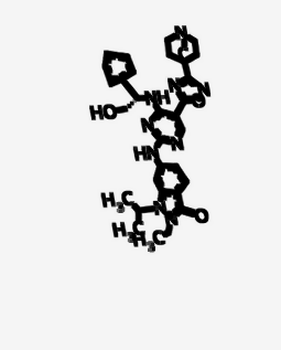 CCn1c(=O)c2ccc(Nc3ncc(-c4nc(C56CCN(CC5)CC6)no4)c(N[C@H](CO)c4ccccc4)n3)cc2n1C(C)C